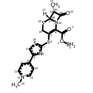 BOC(=O)C1=C(Sc2nc(-c3cc[n+](C)cc3)cs2)CS[C@@H]2[C@H](C)C(=O)N12